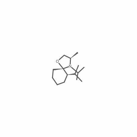 CC(C)[C@H]1CCCC[C@]12OC[C@@H](C)N2C(C)C